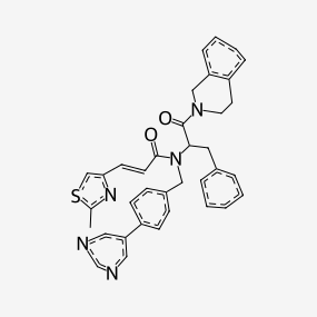 Cc1nc(C=CC(=O)N(Cc2ccc(-c3cncnc3)cc2)C(Cc2ccccc2)C(=O)N2CCc3ccccc3C2)cs1